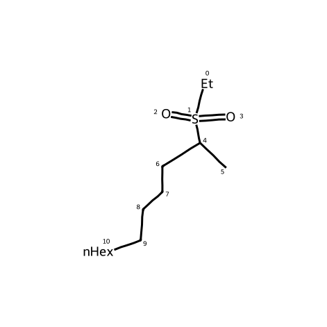 [CH2]CS(=O)(=O)C(C)CCCCCCCCCC